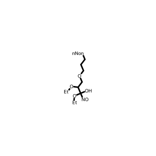 CCCCCCCCCCCCOCC(OCC)C(O)(N=O)OCC